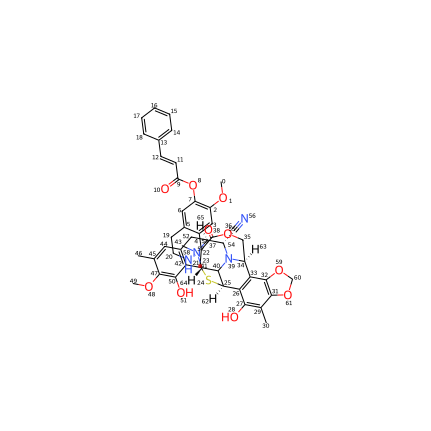 COc1cc2c(cc1OC(=O)/C=C/c1ccccc1)CCN[C@]21CS[C@@H]2c3c(O)c(C)c4c(c3[C@H](COC1=O)N1C2[C@@H]2c3c(cc(C)c(OC)c3O)C[C@@H]([C@@H]1C#N)N2C)OCO4